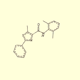 Cc1cccc(C)c1NC(=O)c1nc(-c2ccccc2)sc1C